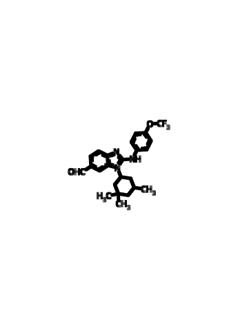 CC1CC(n2c(Nc3ccc(OC(F)(F)F)cc3)nc3ccc(C=O)cc32)CC(C)(C)C1